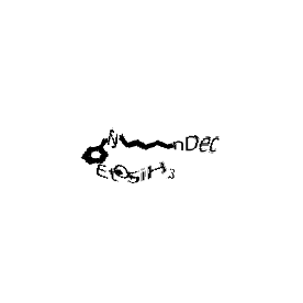 CCCCCCCCCCCCCCCC[N+](C)(C)Cc1ccccc1.CCO[SiH3]